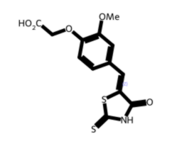 COc1cc(/C=C2\SC(=S)NC2=O)ccc1OCC(=O)O